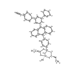 CC[C@H]1C[C@H]2C[C@@H](C)CC(c3ccc(-c4c5ccccc5c(-c5nc(-c6ccccc6)nc(-c6ccc(C#N)cc6)n5)c5ccccc45)cc3)(C2)C1